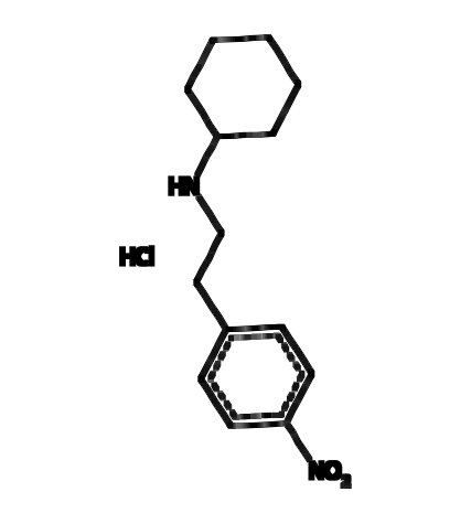 Cl.O=[N+]([O-])c1ccc(CCNC2CCCCC2)cc1